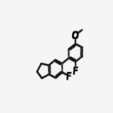 COc1ccc(F)c(-c2cc3c(cc2F)CCC3)c1